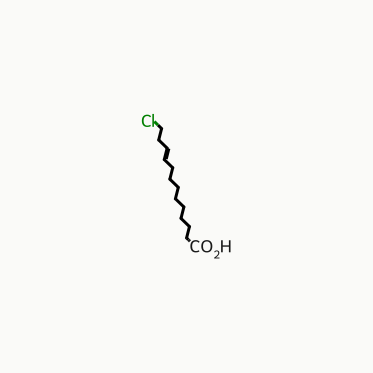 O=C(O)CCCCCCCC/C=C/CCCl